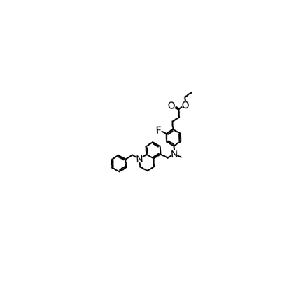 CCOC(=O)CCc1ccc(N(C)Cc2cccc3c2CCCN3Cc2ccccc2)cc1F